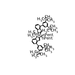 CCCCC[Si]1(CCCCC)C2=Cc3c(-c4cc([Si](C)(C)C)cc([Si](C)(C)C)c4)cccc3[CH]2[Hf]([CH3])([CH3])[CH]2C1=Cc1c(-c3cc([Si](C)(C)C)cc([Si](C)(C)C)c3)cccc12